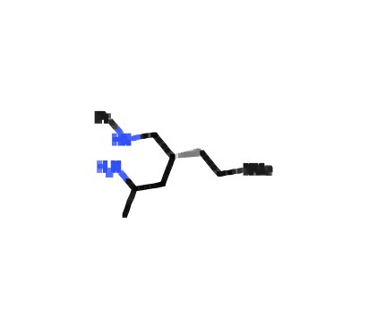 CNCC[C@@H](CNC(C)C)CC(C)N